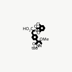 COc1cnn(C(C)(C)C)c(=O)c1-c1ccc(C[C@H](NC(=O)c2c(Cl)cccc2Cl)C(=O)O)cc1